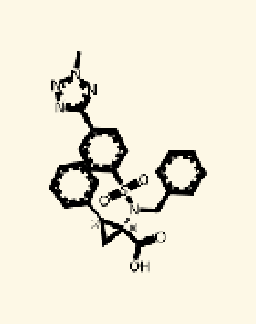 Cn1nnc(-c2ccc(S(=O)(=O)N(Cc3ccccc3)[C@]3(C(=O)O)C[C@H]3c3ccccc3)cc2)n1